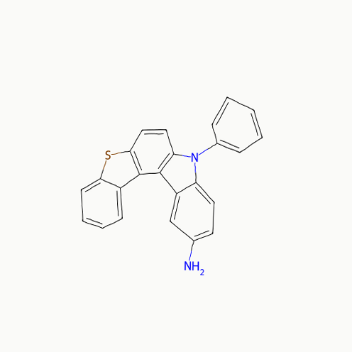 Nc1ccc2c(c1)c1c3c(ccc1n2-c1ccccc1)sc1ccccc13